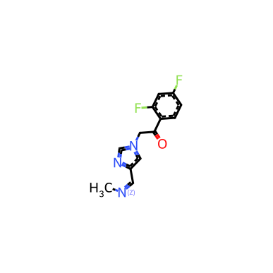 C/N=C\c1cn(CC(=O)c2ccc(F)cc2F)cn1